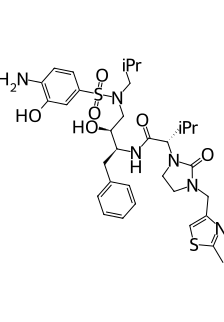 Cc1nc(CN2CCN([C@H](C(=O)N[C@@H](Cc3ccccc3)[C@@H](O)CN(CC(C)C)S(=O)(=O)c3ccc(N)c(O)c3)C(C)C)C2=O)cs1